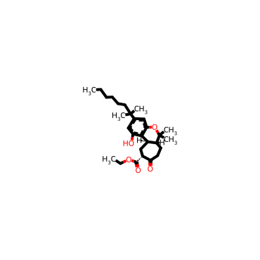 CCCCCCC(C)(C)c1cc(O)c2c(c1)OC(C)(C)[C@@H]1CCC(=O)[C@H](C(=O)OCC)C[C@@H]21